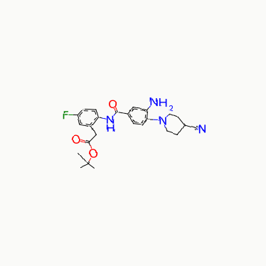 CC(C)(C)OC(=O)Cc1cc(F)ccc1NC(=O)c1ccc(N2CCC(C#N)CC2)c(N)c1